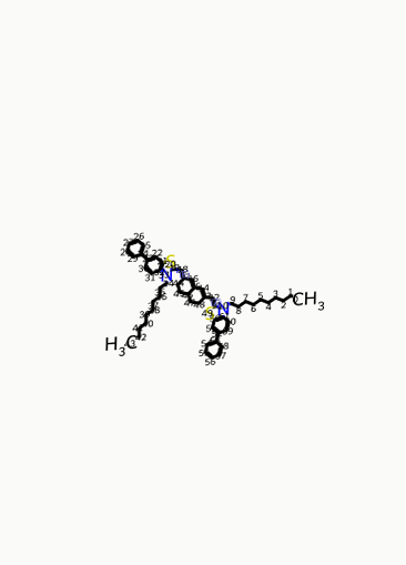 CCCCCCCCCCN1/C(=C/C2=CC3=C/C(=C/c4sc5cc(-c6ccccc6)ccc5[n+]4CCCCCCCCCC)CCC3CC2)Sc2cc(-c3ccccc3)ccc21